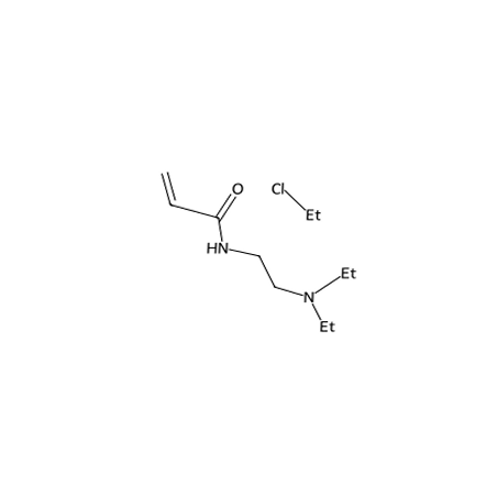 C=CC(=O)NCCN(CC)CC.CCCl